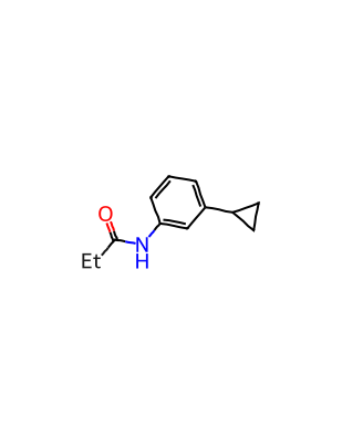 CCC(=O)Nc1cccc(C2CC2)c1